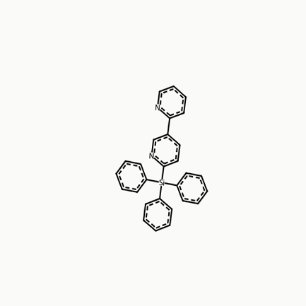 c1ccc([Si](c2ccccc2)(c2ccccc2)c2ccc(-c3ccccn3)cn2)cc1